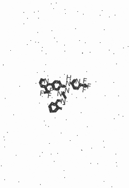 Cc1ccccc1CN(C)Cc1nc(Nc2ccc(C(F)(F)F)nc2)c2ccc(-c3ncccc3C(F)(F)F)cc2n1